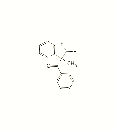 CC(C(=O)c1ccccc1)(c1ccccc1)C(F)F